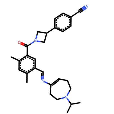 Cc1cc(C)c(C(=O)N2CC(c3ccc(C#N)cc3)C2)cc1/C=N/C1=CCCN(C(C)C)CC1